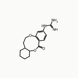 N=C(N)Nc1ccc2c(c1)OCCC1CCCCC1OC2=O